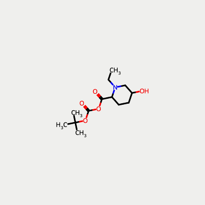 CCN1CC(O)CCC1C(=O)OC(=O)OC(C)(C)C